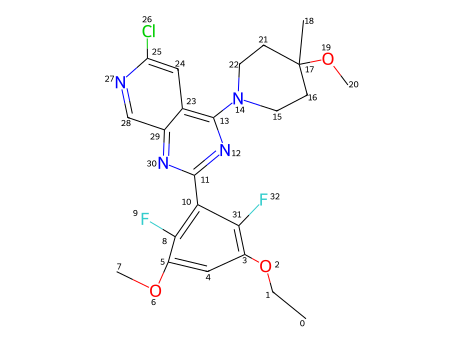 CCOc1cc(OC)c(F)c(-c2nc(N3CCC(C)(OC)CC3)c3cc(Cl)ncc3n2)c1F